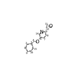 c1ccc(COc2ccc([C@@H]3CO3)nc2)cc1